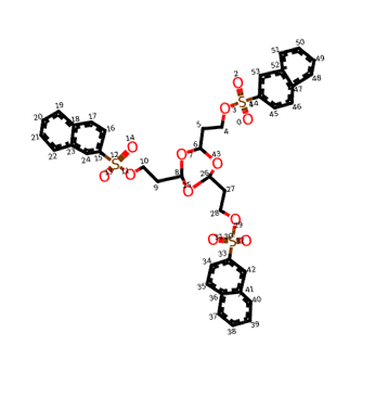 O=S(=O)(OCCC1OC(CCOS(=O)(=O)c2ccc3ccccc3c2)OC(CCOS(=O)(=O)c2ccc3ccccc3c2)O1)c1ccc2ccccc2c1